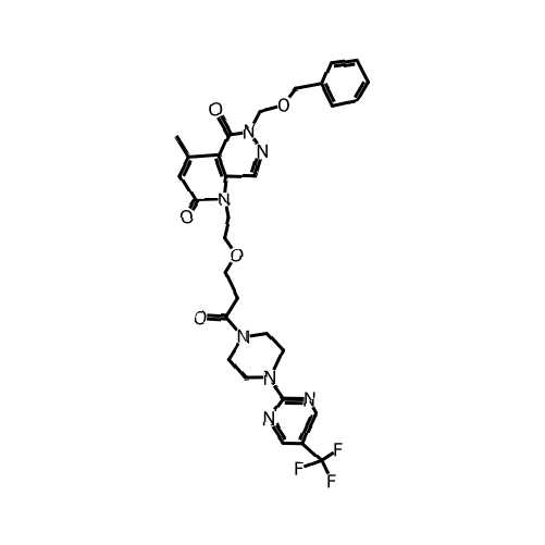 Cc1cc(=O)n(CCOCCC(=O)N2CCN(c3ncc(C(F)(F)F)cn3)CC2)c2cnn(COCc3ccccc3)c(=O)c12